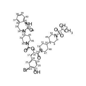 CC(C)S(=O)(=O)N1CCC(C2CCN(C(=O)[C@@H](Cc3ccc(O)c(Br)c3)OC(=O)N3CCC(N4CCc5ccccc5NC4=O)CC3)CC2)CC1